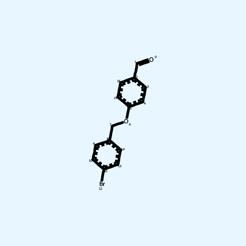 O=Cc1ccc(OCc2ccc(Br)cc2)cc1